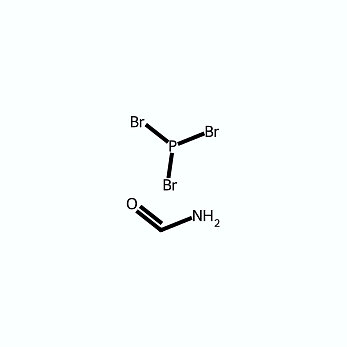 BrP(Br)Br.NC=O